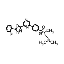 CC(CCN(C)C)S(=O)(=O)c1ccc(-c2cncc(-c3nnc(-c4ccccc4F)o3)n2)cc1